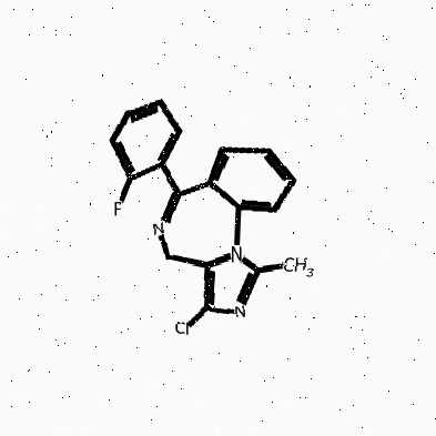 Cc1nc(Cl)c2n1-c1ccccc1C(c1ccccc1F)=NC2